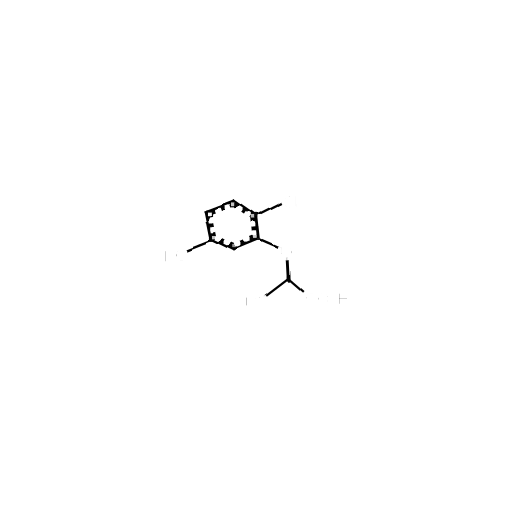 Cc1ccc(Cl)c(OC(C(=O)O)C(C)C)c1